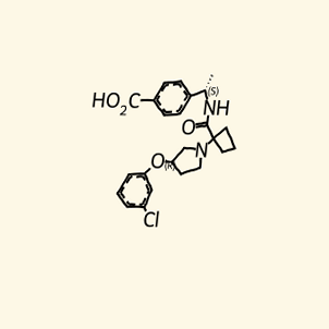 C[C@H](NC(=O)C1(N2CC[C@@H](Oc3cccc(Cl)c3)C2)CCC1)c1ccc(C(=O)O)cc1